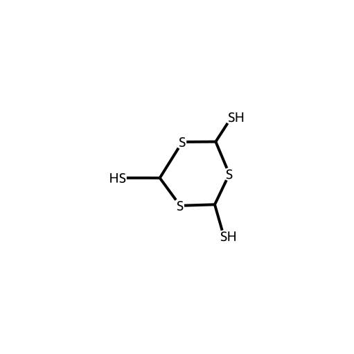 SC1SC(S)SC(S)S1